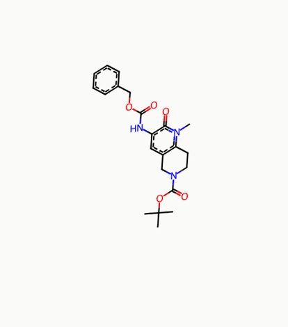 Cn1c2c(cc(NC(=O)OCc3ccccc3)c1=O)CN(C(=O)OC(C)(C)C)CC2